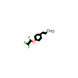 O=CC=Cc1ccc(OC(F)=C(F)F)cc1